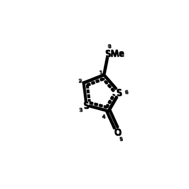 CSc1csc(=O)s1